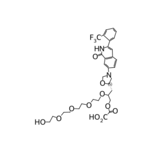 O=C(O)C(=O)OCC(C[C@H]1CN(c2ccc3cc(-c4ccccc4C(F)(F)F)[nH]c(=O)c3c2)CO1)OCCOCCOCCOCCO